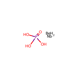 O=P(O)(O)O.[BeH2].[Nb]